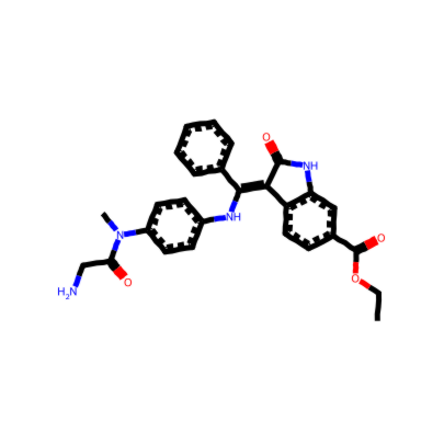 CCOC(=O)c1ccc2c(c1)NC(=O)C2=C(Nc1ccc(N(C)C(=O)CN)cc1)c1ccccc1